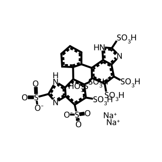 O=S(=O)([O-])c1nc2c(S(=O)(=O)[O-])c(S(=O)(=O)O)c(S(=O)(=O)O)c(-c3ccccc3-c3c(S(=O)(=O)O)c(S(=O)(=O)O)c(S(=O)(=O)O)c4nc(S(=O)(=O)O)[nH]c34)c2[nH]1.[Na+].[Na+]